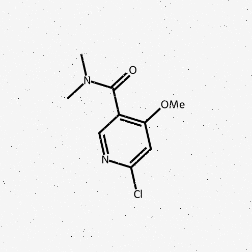 COc1cc(Cl)ncc1C(=O)N(C)C